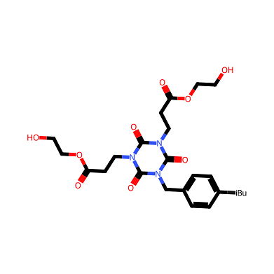 CCC(C)c1ccc(Cn2c(=O)n(CCC(=O)OCCO)c(=O)n(CCC(=O)OCCO)c2=O)cc1